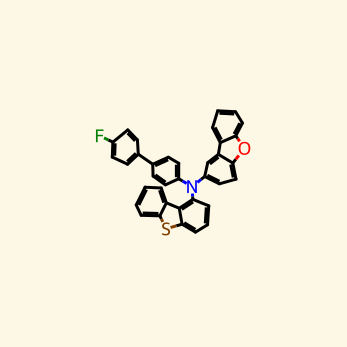 Fc1ccc(-c2ccc(N(c3ccc4oc5ccccc5c4c3)c3cccc4sc5ccccc5c34)cc2)cc1